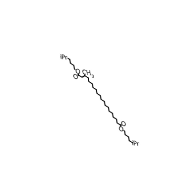 CC(C)CCCCOC(=O)CCCCCCCCCCCCCCCCC(C)CC(=O)OCCCCC(C)C